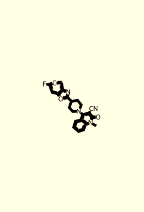 Cn1c(=O)c(C#N)c(N2CCC(c3nc4ccc(F)cc4o3)CC2)c2ccccc21